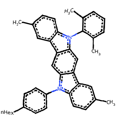 CCCCCCc1ccc(-n2c3ccc(C)cc3c3cc4c(cc32)c2cc(C)ccc2n4-c2c(C)cccc2C)cc1